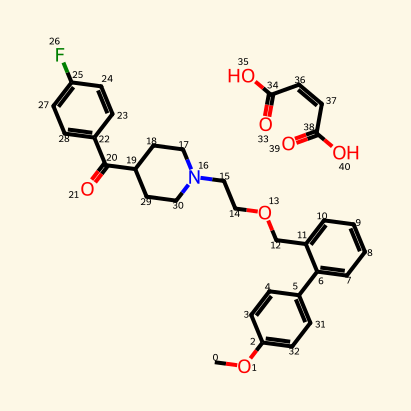 COc1ccc(-c2ccccc2COCCN2CCC(C(=O)c3ccc(F)cc3)CC2)cc1.O=C(O)/C=C\C(=O)O